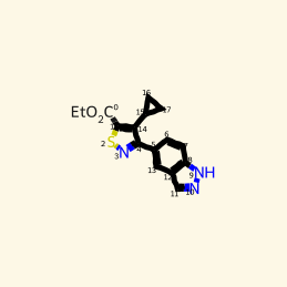 CCOC(=O)c1snc(-c2ccc3[nH]ncc3c2)c1C1CC1